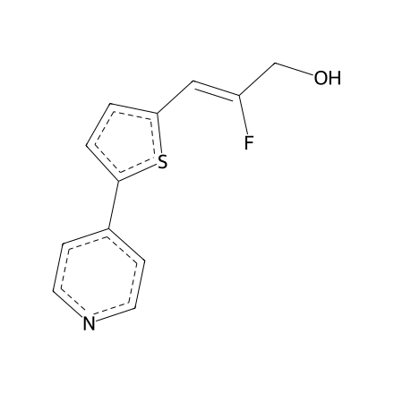 OCC(F)=Cc1ccc(-c2ccncc2)s1